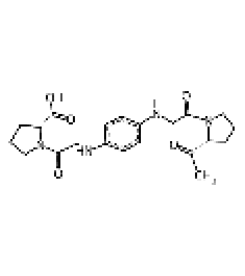 CC(=O)[C@H]1CCCN1C(=O)CNc1ccc(NCC(=O)N2CCC[C@@H]2C(=O)O)cc1